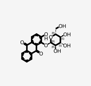 O=C1c2ccccc2C(=O)c2c1ccc(O)c2O[C@H]1O[C@H](CO)[C@@H](O)[C@H](O)[C@H]1O